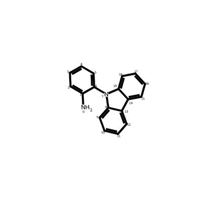 Nc1ccccc1-n1c2ccccc2c2ccccc21